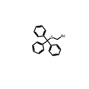 CC(=O)CSC(c1ccccc1)(c1ccccc1)c1ccccc1